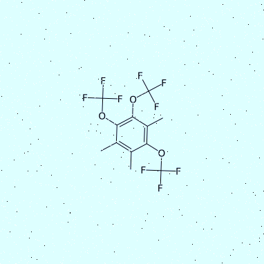 Cc1c(C)c(OC(F)(F)F)c(OC(F)(F)F)c(C)c1OC(F)(F)F